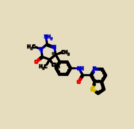 CN1C(=O)C(C)(C)[C@@](C)(c2cccc(NC(=O)c3nccc4ccsc34)c2)N=C1N